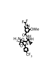 COc1cc(C(=O)NCC(O)(c2cc3c(c(-c4ccc(C(F)(F)F)cc4)n2)OC[C@]3(C)C(N)=O)C2CC2)cc2cn(C(F)F)nc12